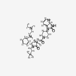 CCN(C)CCN(C)c1ccccc1[C@@H]1S[C@](C)(CC(=O)N2CCC(n3c(=O)[nH]c4ncccc43)CC2)C(=O)N1CCC(C)(C)C